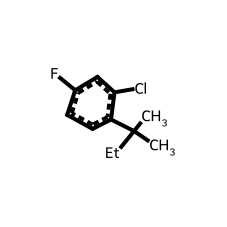 CCC(C)(C)c1ccc(F)cc1Cl